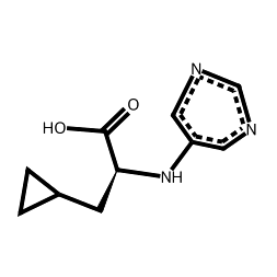 O=C(O)[C@H](CC1CC1)Nc1cncnc1